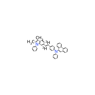 [2H]/C(=C(/[2H])c1ccc2c(C)c(C)n(-c3ccccc3)c2c1)c1ccc(N(c2ccccc2)c2cc3ccccc3c3ccccc23)cc1